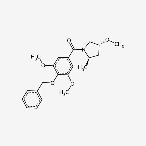 COc1cc(C(=O)N2C[C@H](OC)C[C@H]2C)cc(OC)c1OCc1ccccc1